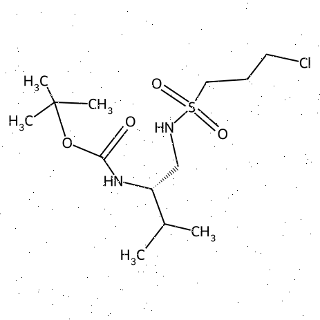 CC(C)[C@@H](CNS(=O)(=O)CCCCl)NC(=O)OC(C)(C)C